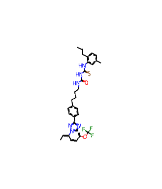 C=C(/C=C\C(=C/C)n1cnc(-c2ccc(CCCCNC(=O)NC(=S)Nc3cc(C)ccc3CCC)cc2)n1)OC(F)(F)F